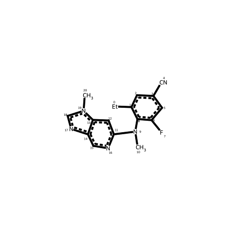 CCc1cc(C#N)cc(F)c1N(C)c1cc2c(cn1)ncn2C